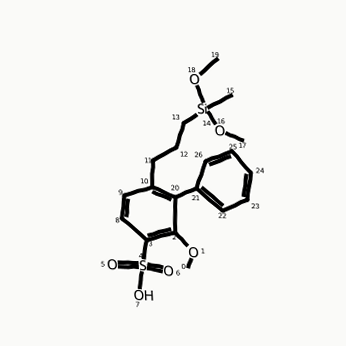 COc1c(S(=O)(=O)O)ccc(CCC[Si](C)(OC)OC)c1-c1ccccc1